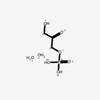 O.O.O=C(CO)COP(=O)(O)O